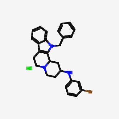 Brc1cccc(NC2CCN3CCc4c(n(Cc5ccccc5)c5ccccc45)C3C2)c1.Cl